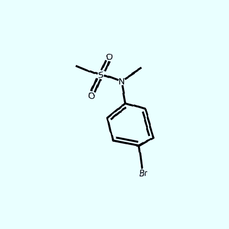 CN(c1ccc(Br)cc1)S(C)(=O)=O